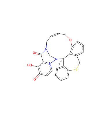 O=C1c2c(O)c(=O)ccn2N2CN1C/C=C\COc1cccc3c1[C@H]2c1ccccc1SC3